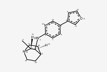 C[C@@H]1[C@@H](Nc2ccc(-c3ccoc3)cn2)C2CCN1CC2